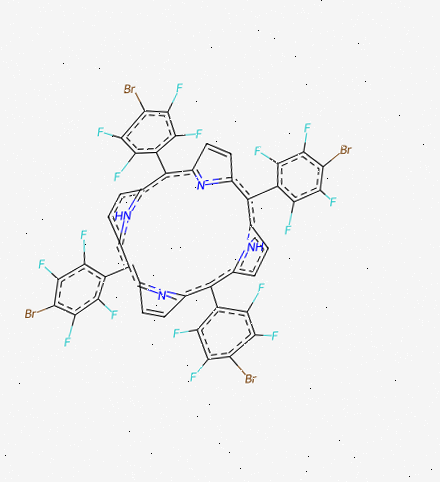 Fc1c(F)c(-c2c3nc(c(-c4c(F)c(F)c(Br)c(F)c4F)c4ccc([nH]4)c(-c4c(F)c(F)c(Br)c(F)c4F)c4nc(c(-c5c(F)c(F)c(Br)c(F)c5F)c5ccc2[nH]5)C=C4)C=C3)c(F)c(F)c1Br